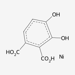 O=C(O)c1ccc(O)c(O)c1C(=O)O.[Ni]